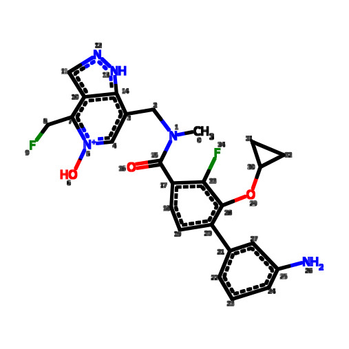 CN(Cc1c[n+](O)c(CF)c2cn[nH]c12)C(=O)c1ccc(-c2cccc(N)c2)c(OC2CC2)c1F